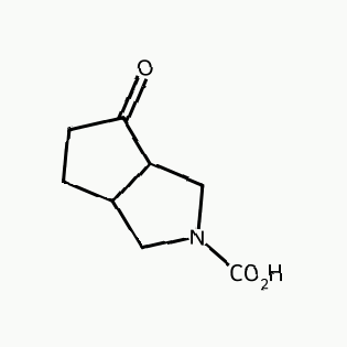 O=C1CCC2CN(C(=O)O)CC12